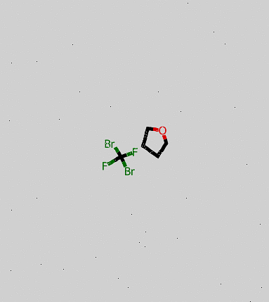 C1CCOC1.FC(F)(Br)Br